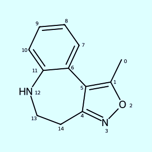 Cc1onc2c1-c1ccccc1NCC2